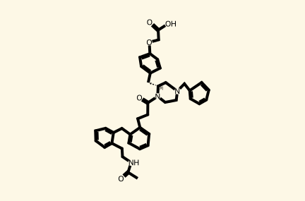 CC(=O)NCCc1ccccc1Cc1ccccc1CCC(=O)N1CCN(Cc2ccccc2)C[C@H]1Cc1ccc(OCC(=O)O)cc1